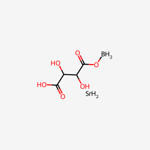 BOC(=O)C(O)C(O)C(=O)O.[SrH2]